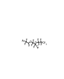 CC(=O)C(F)(F)C(F)OC(F)(F)C(F)(CF)OC(F)(F)C(F)(F)C(F)(F)F